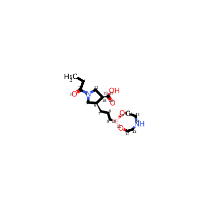 CCC(=O)N1C[C@H](CCCB2OCCNCCO2)[C@H](C(=O)O)C1